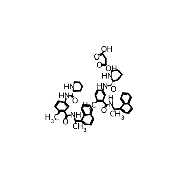 Cc1ccc(NC(=O)[C@H]2CCCCN2)cc1C(=O)N[C@H](C)c1cccc2ccccc12.Cc1ccc(NC(=O)[C@H]2CCCCN2)cc1C(=O)N[C@H](C)c1cccc2ccccc12.O=C(O)CC(=O)O